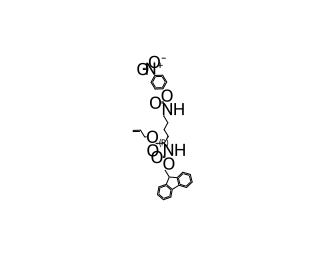 C=CCOC(=O)[C@@H](CCCCNC(=O)Oc1ccc([N+](=O)[O-])cc1)NC(=O)OCC1c2ccccc2-c2ccccc21